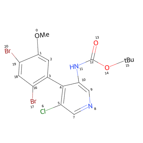 COc1cc(-c2c(Cl)cncc2NC(=O)OC(C)(C)C)c(Br)cc1Br